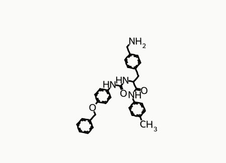 Cc1ccc(NC(=O)C(Cc2ccc(CN)cc2)NC(=O)Nc2ccc(OCc3ccccc3)cc2)cc1